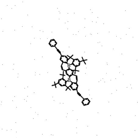 CC(C)(C)c1cc(C(C)(C)C)c(B2c3ccc(C#Cc4ccccc4)cc3C=Cc3cc4c(cc32)C=Cc2cc(C#Cc3ccccc3)ccc2B4c2c(C(C)(C)C)cc(C(C)(C)C)cc2C(C)(C)C)c(C(C)(C)C)c1